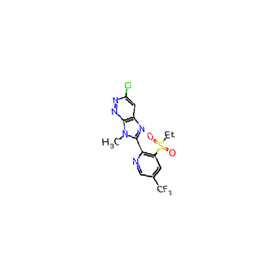 CCS(=O)(=O)c1cc(C(F)(F)F)cnc1-c1nc2cc(Cl)nnc2n1C